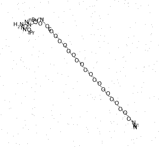 CCCCc1nc2c(N)nnc(OC(C)C)c2n1Cc1ccc(CN(C)C(=O)CCOCCOCCOCCOCCOCCOCCOCCOCCOCCOCCOCCOCCOCCOCCOCCOCCOCCOCCOCCOCCN=[N+]=[N-])cc1